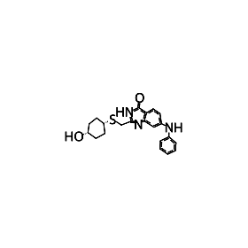 O=c1[nH]c(CS[C@H]2CC[C@@H](O)CC2)nc2cc(Nc3ccccc3)ccc12